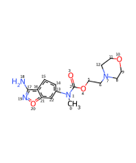 CN(C(=O)OCCN1CCOCC1)c1ccc2c(N)noc2c1